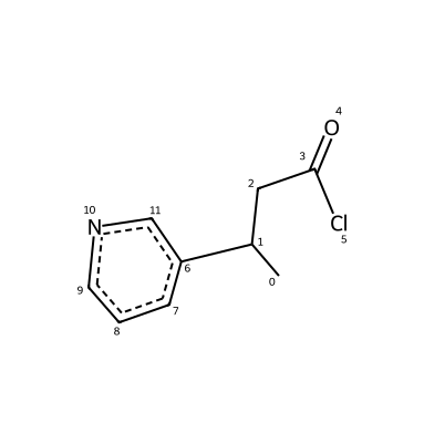 CC(CC(=O)Cl)c1cccnc1